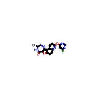 CC1CNc2c(oc3ccc4nc(Oc5cc(Cl)ncn5)ccc4c23)C(=O)N1